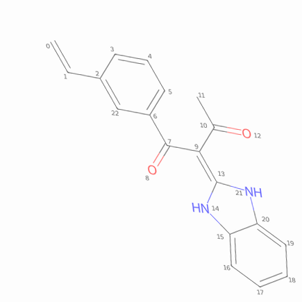 C=Cc1cccc(C(=O)C(C(C)=O)=C2Nc3ccccc3N2)c1